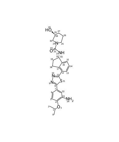 CC(C)Oc1ccc(-c2nnc(-c3cccc4c3CC[C@@H]4NC(=O)N3CCC[C@H](O)C3)s2)cc1N